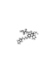 CN(C(=O)c1ccc(OCCCN2CC3CCCC3C2)cc1)C1CCCCC1.O=C(O)C(=O)O